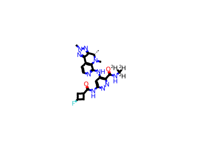 [2H]C([2H])([2H])NC(=O)c1nnc(NC(=O)C2CC(F)C2)cc1Nc1nccc2c1N(C)[C@@H](C)c1nn(C)nc1-2